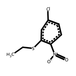 CCSc1cc(Cl)ccc1[N+](=O)[O-]